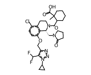 CC1(C(=O)O)CCCCC1C(=O)N1CCc2c(Cl)ccc(OCc3nnn(C4CC4)c3C(F)F)c2[C@H]1CN1CCCC1=O